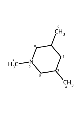 CC1[CH]C(C)CN(C)C1